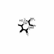 C=C(C(=O)OC)C(C)O.CC(C)C[C@H](N)C(=O)O